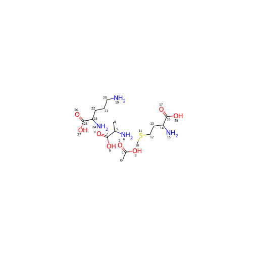 CC(=O)O.CC(N)C(=O)O.CSCCC(N)C(=O)O.NCCCC(N)C(=O)O